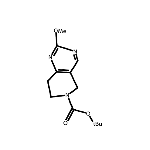 COc1ncc2c(n1)CCN(C(=O)OC(C)(C)C)C2